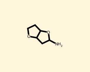 NC1CC2OCCC2O1